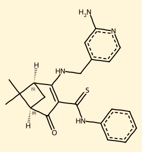 CC1(C)[C@@H]2C[C@H]1C(=O)C(C(=S)Nc1ccccc1)=C2NCc1ccnc(N)c1